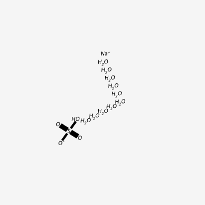 O.O.O.O.O.O.O.O.O.O.O=S(=O)([O-])O.[Na+]